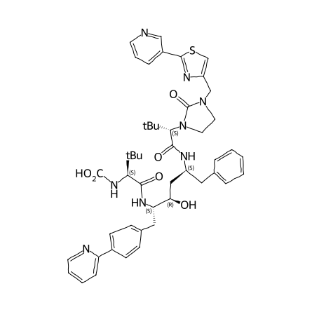 CC(C)(C)[C@H](NC(=O)O)C(=O)N[C@@H](Cc1ccc(-c2ccccn2)cc1)[C@H](O)C[C@H](Cc1ccccc1)NC(=O)[C@@H](N1CCN(Cc2csc(-c3cccnc3)n2)C1=O)C(C)(C)C